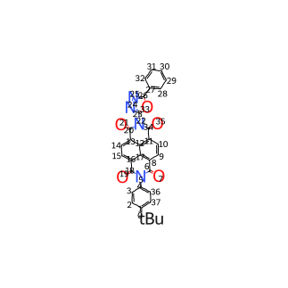 CC(C)(C)c1ccc(N2C(=O)c3ccc4c5c(ccc(c35)C2=O)C(=O)N(c2nnc(-c3ccccc3)o2)C4=O)cc1